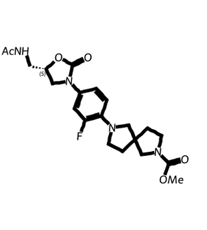 COC(=O)N1CCC2(CCN(c3ccc(N4C[C@H](CNC(C)=O)OC4=O)cc3F)C2)C1